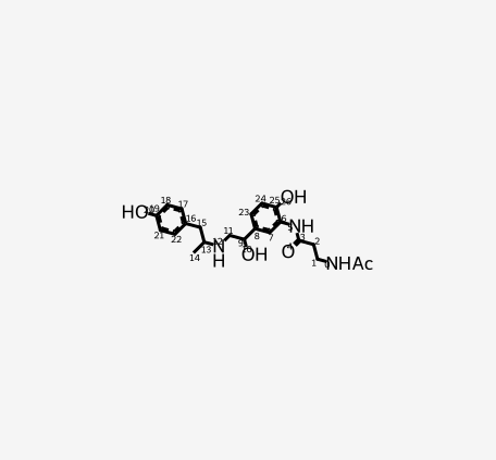 CC(=O)NCCC(=O)Nc1cc(C(O)CNC(C)Cc2ccc(O)cc2)ccc1O